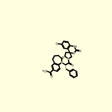 NC(=O)c1ccc2c(c1)CCCC(=O)N2[C@@H](Cc1ccccc1)C(=O)N1CCC2(C1)OC(=O)Nc1ccc(Cl)cc12